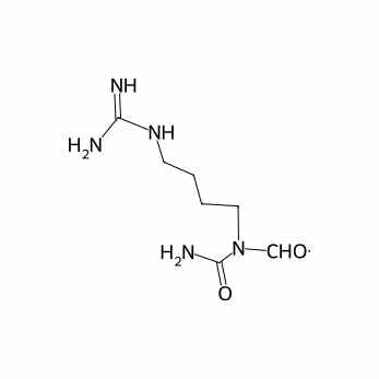 N=C(N)NCCCCN([C]=O)C(N)=O